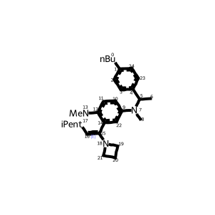 CCCCc1ccc(C(C)N(C)c2ccc(NC)c(/C(=C\C(C)CCC)N3CCC3)c2)cc1